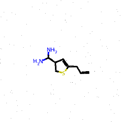 C=CCC1=CC(C(N)N)CS1